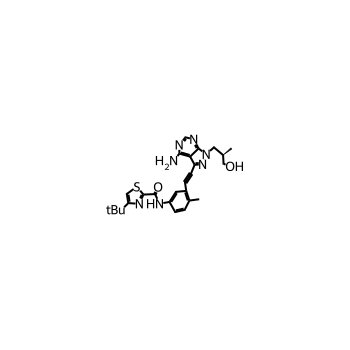 Cc1ccc(NC(=O)c2nc(C(C)(C)C)cs2)cc1C#Cc1nn(C[C@@H](C)CO)c2ncnc(N)c12